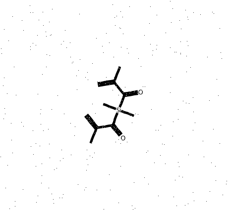 C=C(C)C(=O)[Si](C)(C)C(=O)C(=C)C